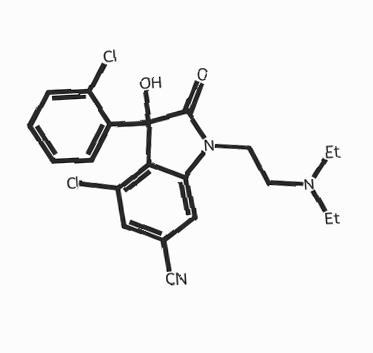 CCN(CC)CCN1C(=O)C(O)(c2ccccc2Cl)c2c(Cl)cc(C#N)cc21